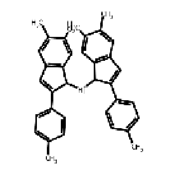 Cc1ccc(C2=Cc3cc(C)c(C)cc3[CH]2[Hf][CH]2C(c3ccc(C)cc3)=Cc3cc(C)c(C)cc32)cc1